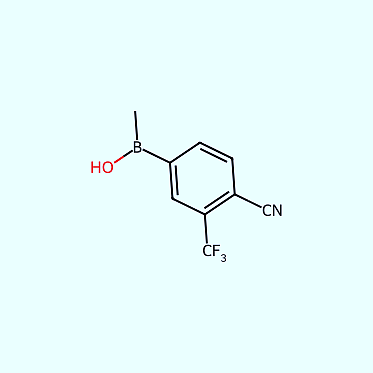 CB(O)c1ccc(C#N)c(C(F)(F)F)c1